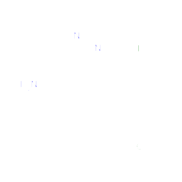 Cc1nnc(-c2cc(Cl)ccc2F)cc1N